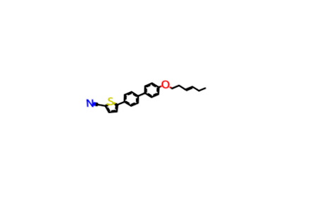 CCC=CCCOc1ccc(-c2ccc(-c3ccc(C#N)s3)cc2)cc1